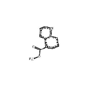 COC(=O)c1cccc2ncccc12